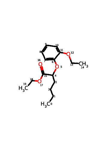 CCCCC(Oc1ccccc1OCC)C(=O)OCC